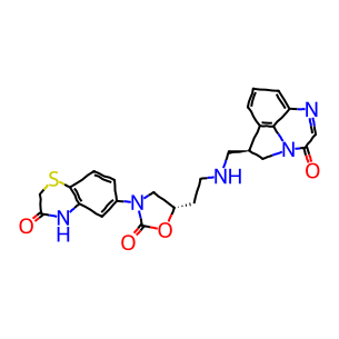 O=C1CSc2ccc(N3C[C@H](CCNC[C@@H]4Cn5c(=O)cnc6cccc4c65)OC3=O)cc2N1